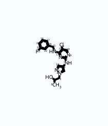 CC(O)Cn1cc(Nc2ncc(Cl)c(NCc3cccc(F)c3)n2)cn1